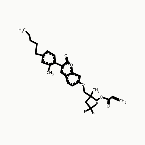 C=CC(=O)OCC(C)(COc1ccc2cc(-c3ccc(CCCCC)cc3C)c(=O)oc2c1)CC(F)(F)F